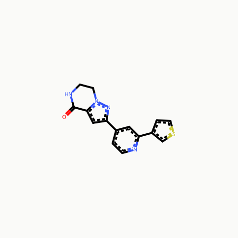 O=C1NCCn2nc(-c3ccnc(-c4ccsc4)c3)cc21